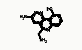 NCc1nc2cccc(O)c2c2nnc(N)cc12